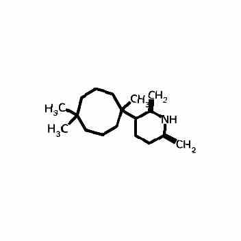 C=C1CCC(C2(C)CCCC(C)(C)CCC2)C(=C)N1